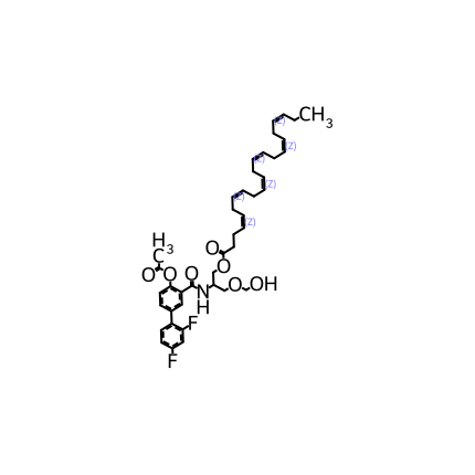 CC/C=C\C/C=C\C/C=C\C/C=C\C/C=C\C/C=C\CCC(=O)OCC(COCO)NC(=O)c1cc(-c2ccc(F)cc2F)ccc1OC(C)=O